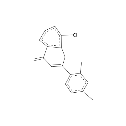 C=C1C=C(c2ccc(C)cc2C)Cc2c(Cl)cccc21